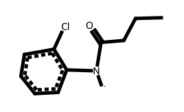 [CH2]N(C(=O)CCC)c1ccccc1Cl